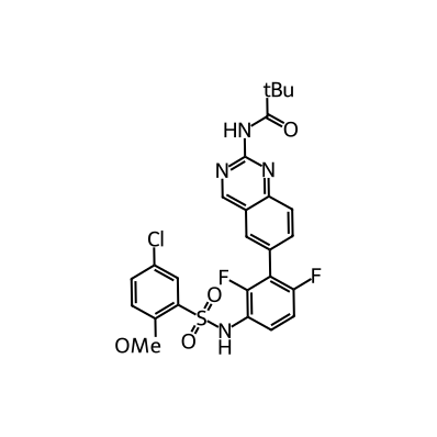 COc1ccc(Cl)cc1S(=O)(=O)Nc1ccc(F)c(-c2ccc3nc(NC(=O)C(C)(C)C)ncc3c2)c1F